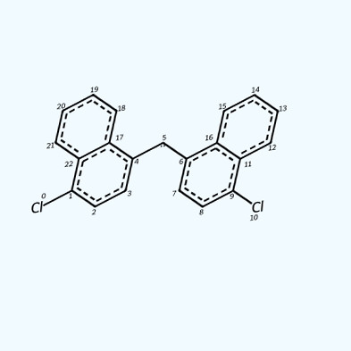 Clc1ccc([C]c2ccc(Cl)c3ccccc23)c2ccccc12